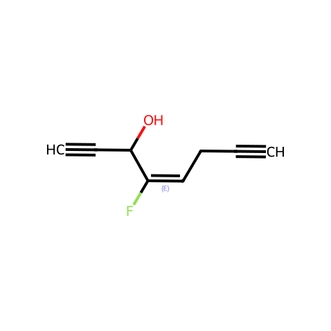 C#CC/C=C(/F)C(O)C#C